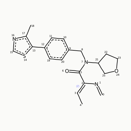 C=N/C(=C\C)C(=O)N(Cc1ccc(-c2scnc2C)cc1)C1CCOC1